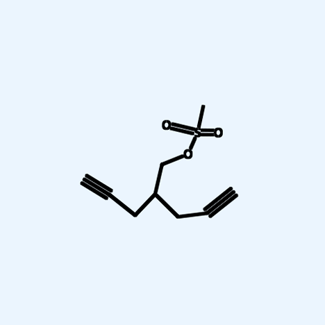 C#CCC(CC#C)COS(C)(=O)=O